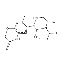 CC1N(c2cc3c(cc2F)OCC(=O)N3)NCC(=O)N1C(F)F